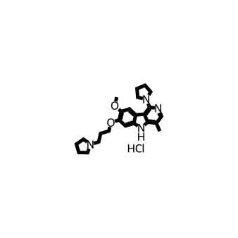 COc1cc2c(cc1OCCCN1CCCC1)[nH]c1c(C)cnc(N3CCCC3)c12.Cl